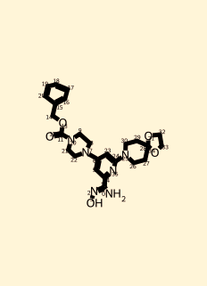 N/C(=N\O)c1cc(N2CCN(C(=O)OCc3ccccc3)CC2)cc(N2CCC3(CC2)OCCO3)n1